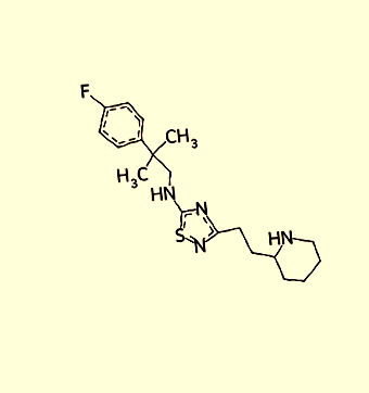 CC(C)(CNc1nc(CCC2CCCCN2)ns1)c1ccc(F)cc1